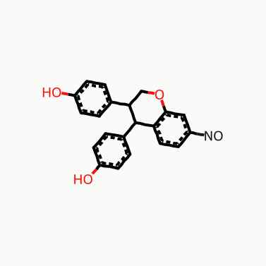 O=Nc1ccc2c(c1)OCC(c1ccc(O)cc1)C2c1ccc(O)cc1